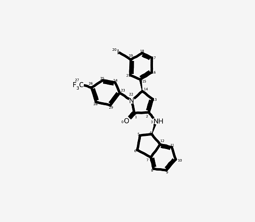 O=C1C(N[C@@H]2CCc3ccccc32)=C[C@H](c2cccc(I)c2)N1c1ccc(C(F)(F)F)cc1